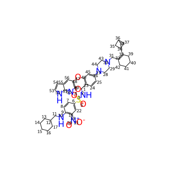 O=C(NS(=O)(=O)c1ccc(NCC2CCCCC2)c([N+](=O)[O-])c1)c1ccc(N2CCN(CC3=C(C45CC(C4)C5)CCCC3)CC2)cc1Oc1cnc2[nH]ccc2c1